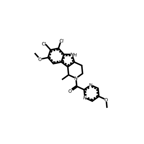 COc1cnc(C(=O)N2CCc3[nH]c4c(Cl)c(Cl)c(OC)cc4c3C2C)nc1